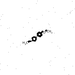 C=CC[C@H]1CC[C@H](c2ccc(COCC)cc2)CC1